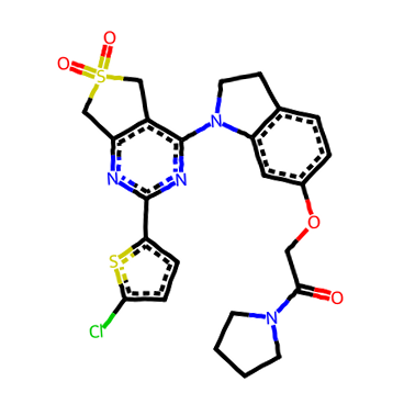 O=C(COc1ccc2c(c1)N(c1nc(-c3ccc(Cl)s3)nc3c1CS(=O)(=O)C3)CC2)N1CCCC1